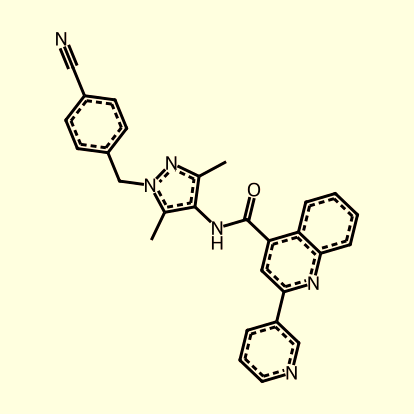 Cc1nn(Cc2ccc(C#N)cc2)c(C)c1NC(=O)c1cc(-c2cccnc2)nc2ccccc12